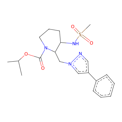 CC(C)OC(=O)N1CCCC(NS(C)(=O)=O)C1Cn1cc(-c2ccccc2)cn1